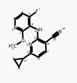 COc1nccc(F)c1Nc1nc(C2CC2)ccc1C#N